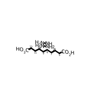 NN.NN.O=C(O)CCCCCCCCC(=O)O